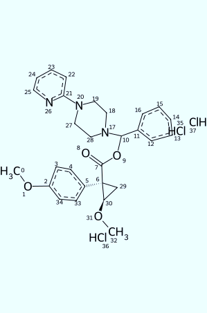 COc1ccc([C@]2(C(=O)OC(c3ccccc3)N3CCN(c4ccccn4)CC3)C[C@H]2OC)cc1.Cl.Cl.Cl